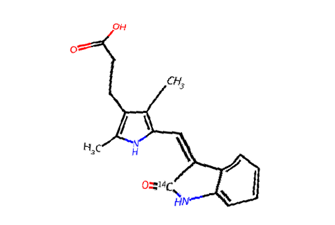 Cc1[nH]c(C=C2c3ccccc3N[14C]2=O)c(C)c1CCC(=O)O